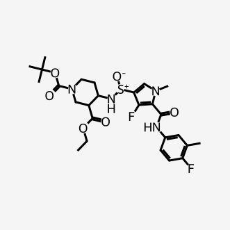 CCOC(=O)C1CN(C(=O)OC(C)(C)C)CCC1N[S+]([O-])c1cn(C)c(C(=O)Nc2ccc(F)c(C)c2)c1F